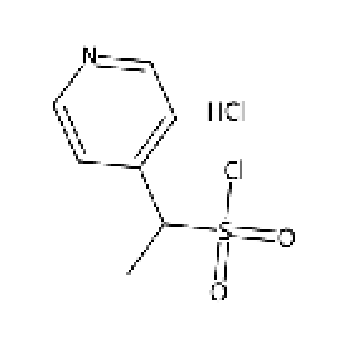 CC(c1ccncc1)S(=O)(=O)Cl.Cl